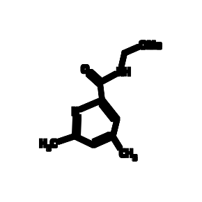 COCNC(=O)c1cc(C)cc(C)n1